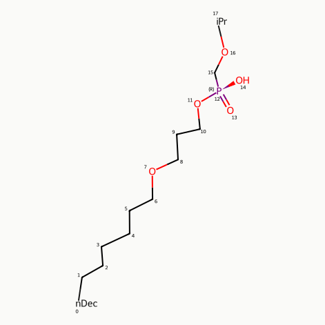 CCCCCCCCCCCCCCCCOCCCO[P@](=O)(O)COC(C)C